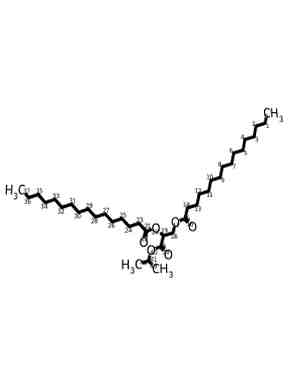 CCCCCCCCCCCCCCCC(=O)OCC(OC(=O)CCCCCCCCCCCCCCC)C(=O)OC(C)C